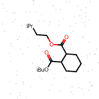 CC(C)CCOC(=O)C1CCCCC1C(=O)OCC(C)C